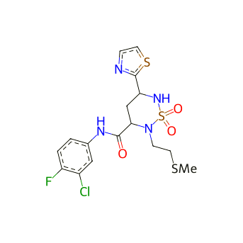 CSCCN1C(C(=O)Nc2ccc(F)c(Cl)c2)CC(c2nccs2)NS1(=O)=O